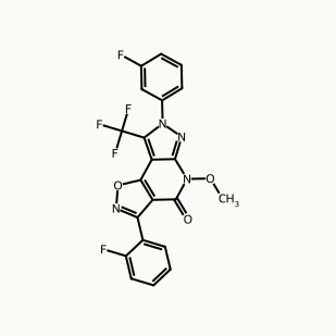 COn1c(=O)c2c(-c3ccccc3F)noc2c2c(C(F)(F)F)n(-c3cccc(F)c3)nc21